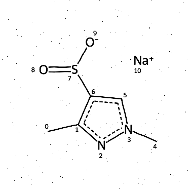 Cc1nn(C)cc1S(=O)[O-].[Na+]